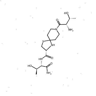 C[C@@H](O)[C@H](N)C(=O)N1CCC2(CC1)N[C@H](C(=O)N[C@H](C(N)=O)[C@@H](C)O)CS2